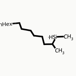 CCCCCCCCCCCCC(C)[SiH]C